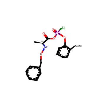 COc1ccccc1OP(=O)(Cl)OC(=O)[C@H](C)NOCc1ccccc1